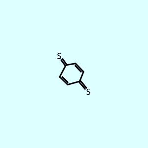 S=C1C=CC(=S)C=C1